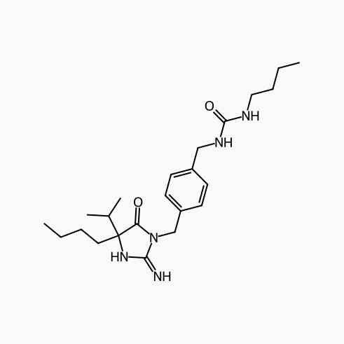 CCCCNC(=O)NCc1ccc(CN2C(=N)NC(CCCC)(C(C)C)C2=O)cc1